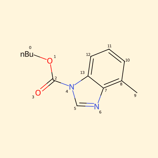 CCCCOC(=O)n1cnc2c(C)cccc21